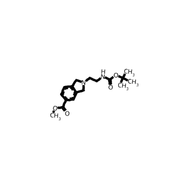 COC(=O)c1ccc2c(c1)CN(CCNC(=O)OC(C)(C)C)C2